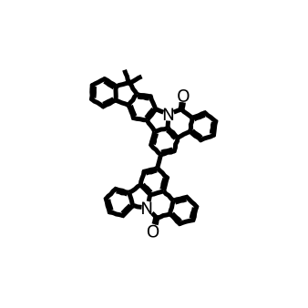 CC1(C)c2ccccc2-c2cc3c4cc(-c5cc6c7ccccc7c(=O)n7c8ccccc8c(c5)c67)cc5c6ccccc6c(=O)n(c3cc21)c54